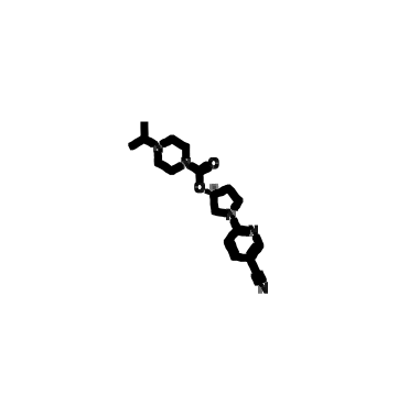 CC(C)N1CCN(C(=O)O[C@@H]2CCN(c3ccc(C#N)cn3)C2)CC1